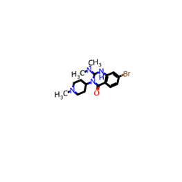 CN1CCC(N2C(=O)c3ccc(Br)cc3NC2N(C)C)CC1